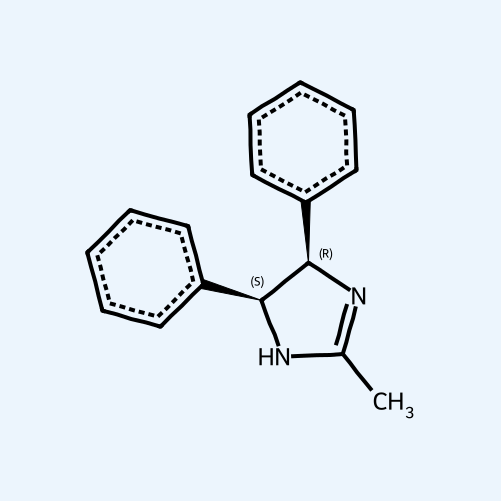 CC1=N[C@H](c2ccccc2)[C@H](c2ccccc2)N1